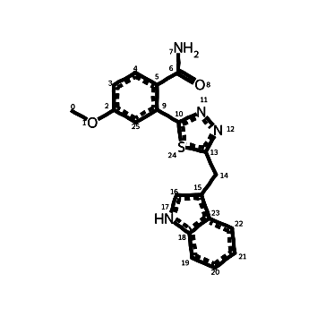 COc1ccc(C(N)=O)c(-c2nnc(Cc3c[nH]c4ccccc34)s2)c1